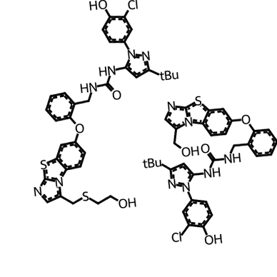 CC(C)(C)c1cc(NC(=O)NCc2ccccc2Oc2ccc3c(c2)sc2ncc(CO)n23)n(-c2ccc(O)c(Cl)c2)n1.CC(C)(C)c1cc(NC(=O)NCc2ccccc2Oc2ccc3c(c2)sc2ncc(CSCCO)n23)n(-c2ccc(O)c(Cl)c2)n1